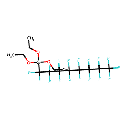 CCO[Si](OCC)(OCC)C(F)(F)C(F)(F)C(F)(F)C(F)(F)C(F)(F)C(F)(F)C(F)(F)C(F)(F)F